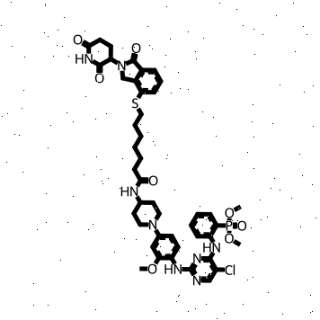 COc1cc(N2CCC(NC(=O)CCCCCCSc3cccc4c3CN(C3CCC(=O)NC3=O)C4=O)CC2)ccc1Nc1ncc(Cl)c(Nc2ccccc2P(=O)(OC)OC)n1